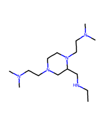 CCNCC1CN(CCN(C)C)CCN1CCN(C)C